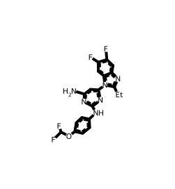 CCc1nc2cc(F)c(F)cc2n1-c1cc(N)nc(Nc2ccc(OC(F)F)cc2)n1